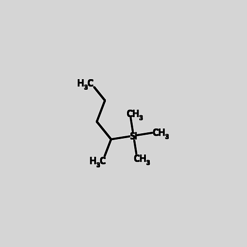 CCCC(C)[Si](C)(C)C